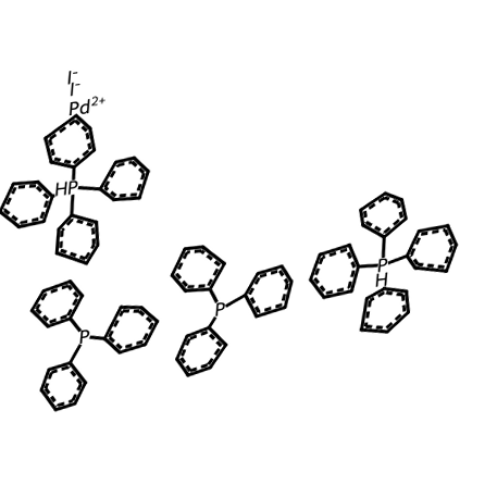 [I-].[I-].[Pd+2].c1ccc(P(c2ccccc2)c2ccccc2)cc1.c1ccc(P(c2ccccc2)c2ccccc2)cc1.c1ccc([PH](c2ccccc2)(c2ccccc2)c2ccccc2)cc1.c1ccc([PH](c2ccccc2)(c2ccccc2)c2ccccc2)cc1